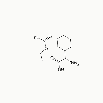 CCOC(=O)Cl.NC(C(=O)O)C1CCCCC1